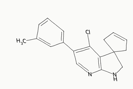 Cc1cccc(-c2cnc3c(c2Cl)C2(CC=CC2)CN3)c1